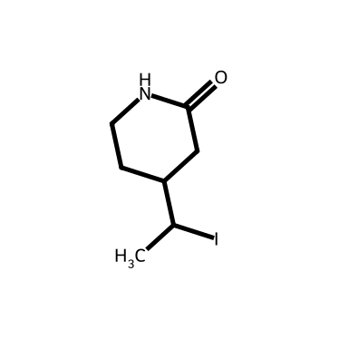 CC(I)C1CCNC(=O)C1